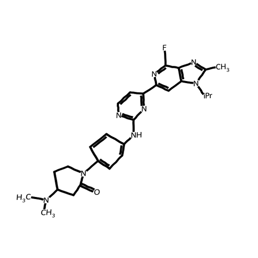 Cc1nc2c(F)nc(-c3ccnc(Nc4ccc(N5CCC(N(C)C)CC5=O)cc4)n3)cc2n1C(C)C